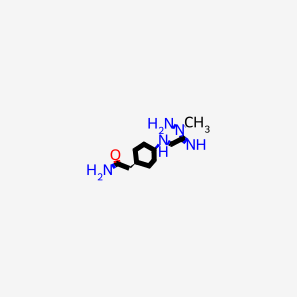 CN(N)C(=N)CN[C@H]1CC[C@H](CC(N)=O)CC1